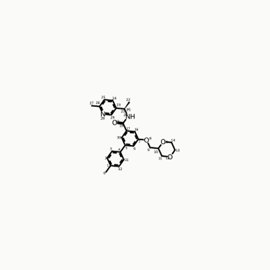 Cc1ccc(-c2cc(OCC3COCCO3)cc(C(=O)N[C@H](C)c3ccc(C)nc3)c2)cc1